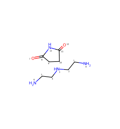 NCCNCCN.O=C1CCC(=O)N1